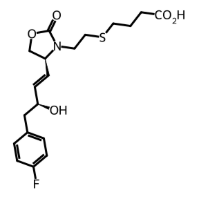 O=C(O)CCCSCCN1C(=O)OC[C@@H]1C=C[C@@H](O)Cc1ccc(F)cc1